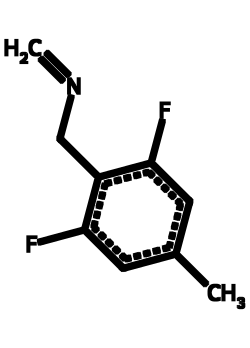 C=NCc1c(F)cc(C)cc1F